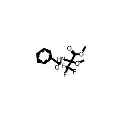 COC(=O)C(NC(=O)c1ccccc1)(OC)C(F)(F)F